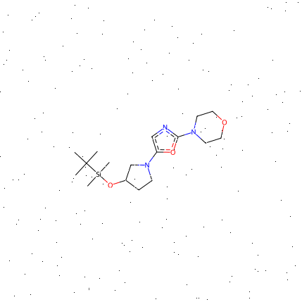 CC(C)(C)[Si](C)(C)OC1CCN(c2cnc(N3CCOCC3)o2)C1